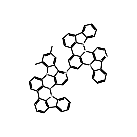 Cc1cc(C)c2c(c1)c1c3c(cc[n+]1-c1cc4c5c(c1)-n1c6ccccc6c6nccc(c61)B5n1c5ccccc5c5cccc-4c51)B1c4c(cccc4-n23)-c2cccc3c4ccccc4n1c23